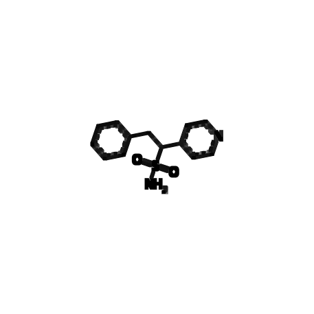 NS(=O)(=O)C(Cc1ccccc1)c1ccncc1